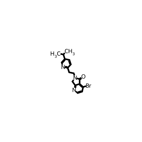 CC(C)c1ccc(CCN2Cc3nccc(Br)c3C2=O)nc1